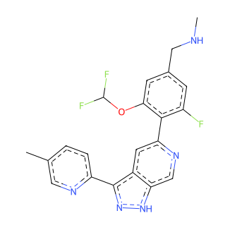 CNCc1cc(F)c(-c2cc3c(-c4ccc(C)cn4)n[nH]c3cn2)c(OC(F)F)c1